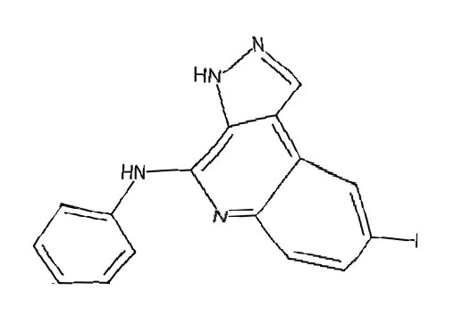 Ic1ccc2nc(Nc3cc[c]cc3)c3[nH]ncc3c2c1